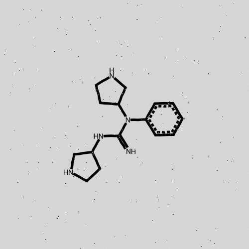 N=C(NC1CCNC1)N(c1cc[c]cc1)C1CCNC1